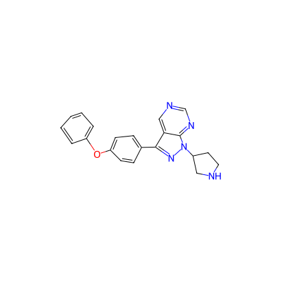 c1ccc(Oc2ccc(-c3nn(C4CCNC4)c4ncncc34)cc2)cc1